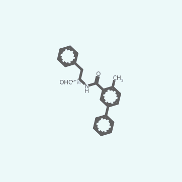 Cc1ccc(-c2ccccc2)cc1C(=O)N[C@H](C=O)Cc1ccccc1